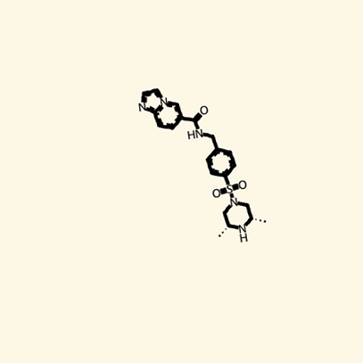 C[C@@H]1CN(S(=O)(=O)c2ccc(CNC(=O)c3ccc4nccn4c3)cc2)C[C@H](C)N1